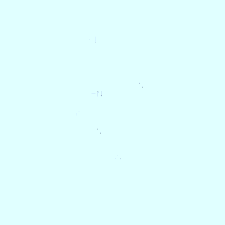 O=C(CNC(c1ccc(Cl)cc1)c1cccnc1)N1CCC2(CC1)OCc1ccccc12